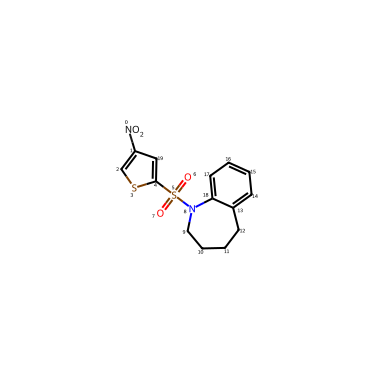 O=[N+]([O-])c1csc(S(=O)(=O)N2CCCCc3ccccc32)c1